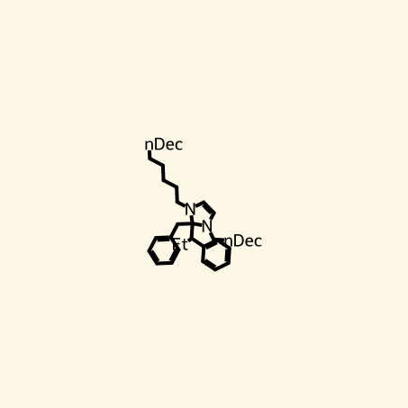 CCCCCCCCCCCCCCCN1C=CN(CCCCCCCCCCC)C1(Cc1ccccc1)C(CC)c1ccccc1